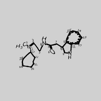 CN(CCNC(=O)CC1CNc2ccccc21)C1CCCCC1